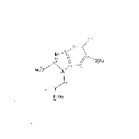 COc1cc2c(cc1Cl)nc(OC)n2CCNC(C)=O